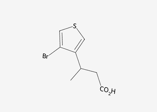 CC(CC(=O)O)c1cscc1Br